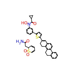 NC(=O)CC1C=CC=CS1(=O)=O.O=C(C1CC1)N(O)c1cccc(-c2ccc(C3=Cc4ccc5c(c4CC3)CCc3ccccc3-5)s2)c1